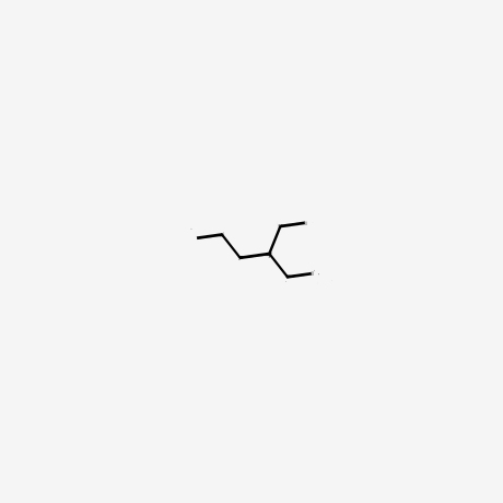 CCCCCCCCCCC(CN)CCCCCCCCC